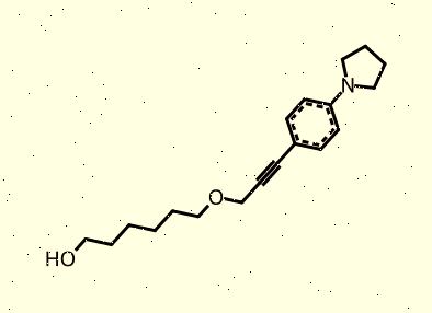 OCCCCCCOCC#Cc1ccc(N2CCCC2)cc1